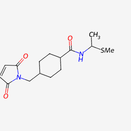 CSC(C)NC(=O)C1CCC(CN2C(=O)C=CC2=O)CC1